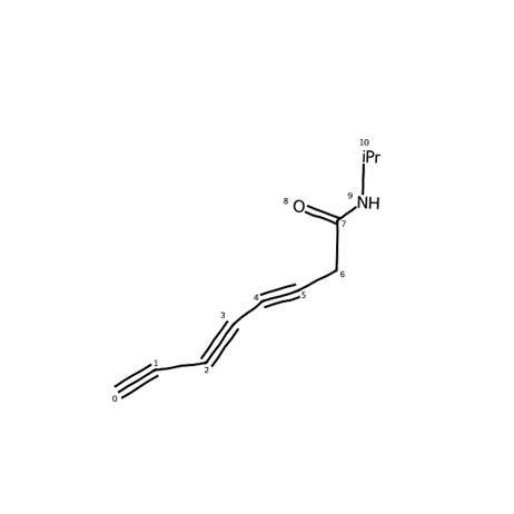 C#CC#CC#CCC(=O)NC(C)C